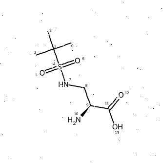 CC(C)(C)S(=O)(=O)NC[C@H](N)C(=O)O